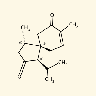 CC1=CC[C@@]2(CC1=O)[C@@H](C(C)C)C(=O)C[C@@H]2C